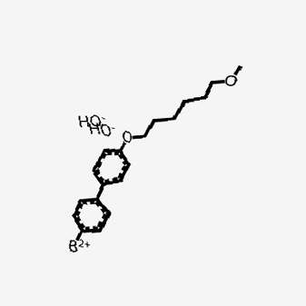 [B+2]c1ccc(-c2ccc(OCCCCCCOC)cc2)cc1.[OH-].[OH-]